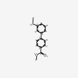 COC(=O)c1ccc(-c2cccc(SC)c2)cc1